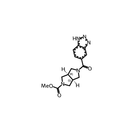 COC(=O)N1C[C@@H]2CN(C(=O)c3ccc4[nH]nnc4c3)C[C@@H]2C1